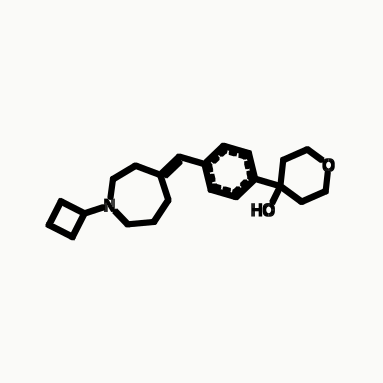 OC1(c2ccc(C=C3CCCN(C4CCC4)CC3)cc2)CCOCC1